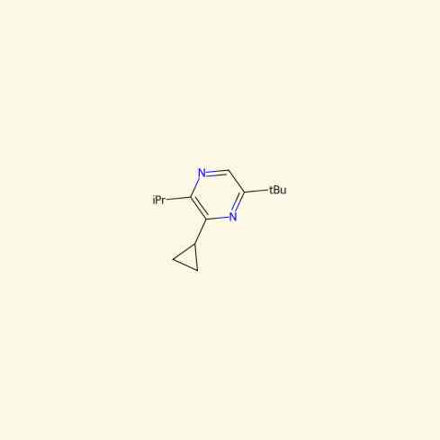 CC(C)c1ncc(C(C)(C)C)nc1C1CC1